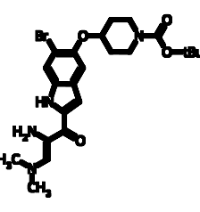 CN(C)/C=C(\N)C(=O)c1cc2cc(OC3CCN(C(=O)OC(C)(C)C)CC3)c(Br)cc2[nH]1